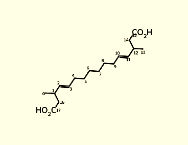 CC(/C=C/CCCCCC/C=C/C(C)CC(=O)O)CC(=O)O